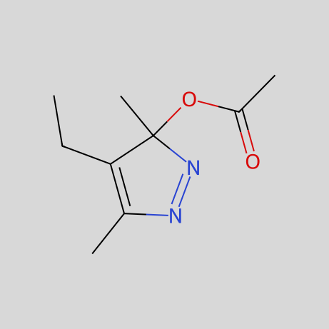 CCC1=C(C)N=NC1(C)OC(C)=O